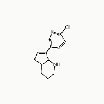 Clc1ccc(C2=CCC3CCCNC23)cn1